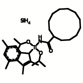 CC1=C(C)[CH]([Ti]([NH]C(=O)C2CCCCCCCCCCC2)([O]C(C)C)[O]C(C)C)c2cc(C)cc(C)c21.[SiH4]